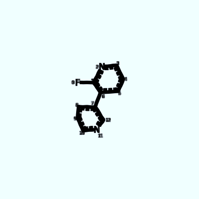 Fc1ncccc1-c1cccnc1